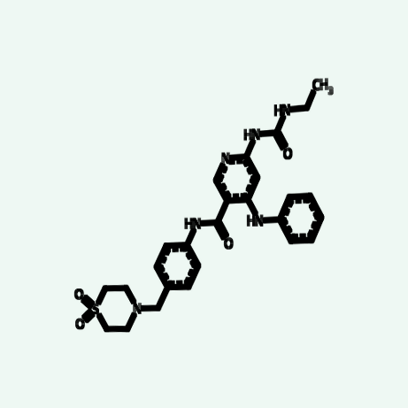 CCNC(=O)Nc1cc(Nc2ccccc2)c(C(=O)Nc2ccc(CN3CCS(=O)(=O)CC3)cc2)cn1